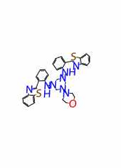 c1ccc(-c2nc3ccccc3s2)c(NN2CN(Nc3ccccc3-c3nc4ccccc4s3)CN(N3CCOCC3)C2)c1